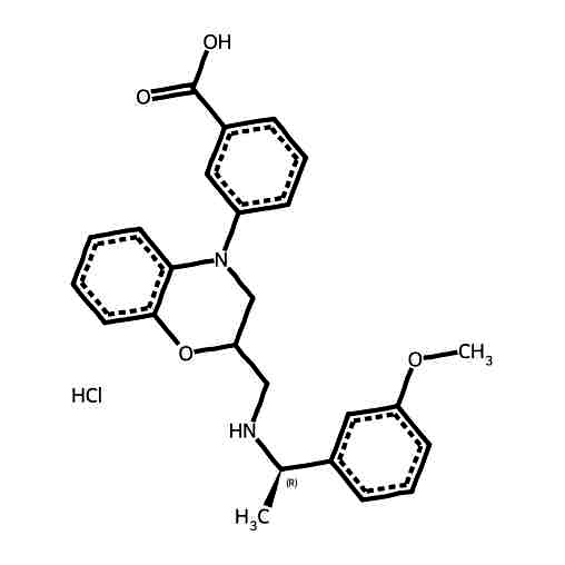 COc1cccc([C@@H](C)NCC2CN(c3cccc(C(=O)O)c3)c3ccccc3O2)c1.Cl